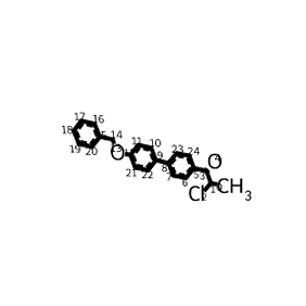 CC(Cl)C(=O)c1ccc(-c2ccc(OCc3ccccc3)cc2)cc1